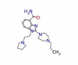 CCCN1CCN(c2nc3c(C(N)=O)cccc3n2CCN2CCCC2)CC1